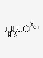 CC(C)NNC(=O)NC[C@H]1CC[C@H](C(=O)O)CC1